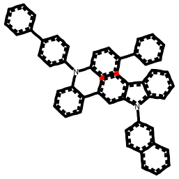 c1ccc(-c2ccc(N(c3ccc(-c4ccccc4)cc3)c3ccccc3-c3ccc4c5ccccc5n(-c5ccc6ccccc6c5)c4c3)cc2)cc1